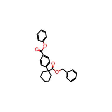 O=C(Oc1ccccc1)c1ccc(C2(C(=O)OCc3ccccc3)CCCCC2)cc1